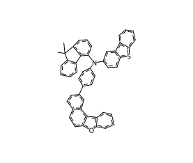 CC1(C)c2ccccc2-c2c(N(c3ccc(-c4ccc5ccc6oc7ccccc7c6c5c4)cc3)c3ccc4sc5ccccc5c4c3)cccc21